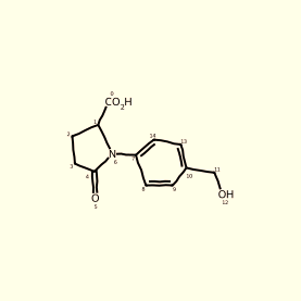 O=C(O)C1CCC(=O)N1c1ccc(CO)cc1